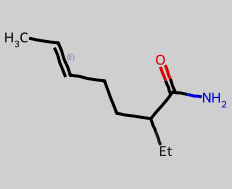 C/C=C/CCC(CC)C(N)=O